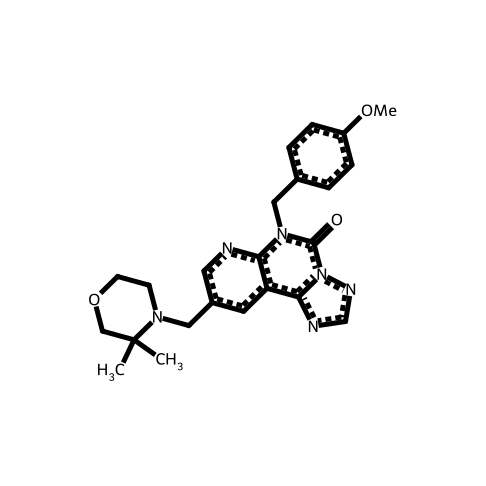 COc1ccc(Cn2c(=O)n3ncnc3c3cc(CN4CCOCC4(C)C)cnc32)cc1